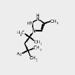 CC(=O)C(C)(C)CC(C)(C)N1C=C(C)NN1